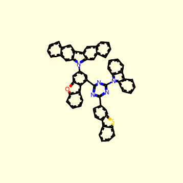 c1ccc2cc3c(cc2c1)c1cc2ccccc2cc1n3-c1cc(-c2nc(-c3ccc4c(c3)sc3ccccc34)nc(-n3c4ccccc4c4ccccc43)n2)c2c(c1)oc1ccccc12